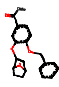 COC(=O)c1ccc(OCc2ccccc2)c(OC2CC3CCC2O3)c1